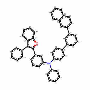 c1ccc(-c2c(-c3cccc(N(c4ccccc4)c4ccc(-c5cccc(-c6ccc7ccccc7c6)c5)cc4)c3)oc3ccccc23)cc1